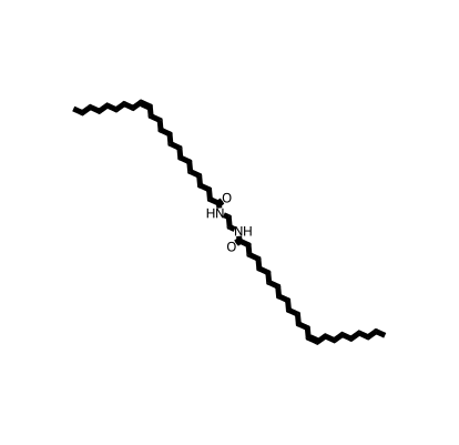 CCCCCCCC/C=C\CCCCCCCCCCCCCC(=O)NCCNC(=O)CCCCCCCCCCCCC/C=C\CCCCCCCC